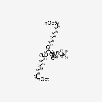 CCCCCCCC/C=C\CCCCCCCCO[C@H](COC(=O)CCCCCCC/C=C\CCCCCCCC)COP(=O)([O-])OCC[N+](C)(C)C